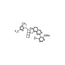 COc1ncnc(C2CC2)c1-c1ncc2ccc(=O)n(CC34C5C(Cc6nc(C(F)(F)F)cn6C)C3C3CC5C34)c2n1